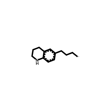 [CH2]CCCc1ccc2c(c1)CCCN2